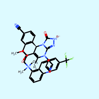 COC(=O)C1=C(C)N(c2cccc(C(F)(F)F)c2)c2n[nH]c(=O)n2[C@@H]1c1ccc(C#N)cc1CCC[N+](C)(C)c1cccc2ncccc12.[Br-]